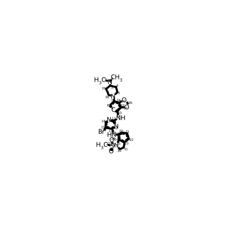 CN(C)C1CCN(c2ccc(Nc3ncc(Br)c(Nc4cccc5c4N(S(C)(=O)=O)CC5)n3)c3c2OCO3)CC1